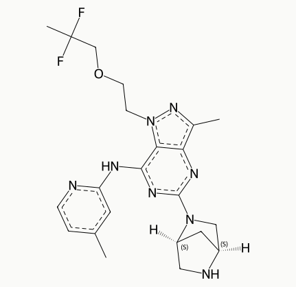 Cc1ccnc(Nc2nc(N3C[C@@H]4C[C@H]3CN4)nc3c(C)nn(CCOCC(C)(F)F)c23)c1